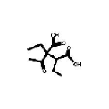 CCC(C(=O)O)C(CC)(C(C)=O)C(=O)O